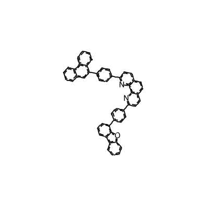 c1ccc2c(c1)cc(-c1ccc(-c3ccc4ccc5ccc(-c6ccc(-c7cccc8c7oc7ccccc78)cc6)nc5c4n3)cc1)c1ccccc12